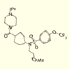 COCCN(C1CCC(C(=O)N2CCN(C(C)C)CC2)CC1)S(=O)(=O)c1ccc(OC(F)(F)F)cc1